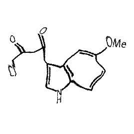 COc1ccc2[nH]cc(C(=O)C(=O)Cl)c2c1